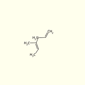 C=C[SiH2]C(C)=CC